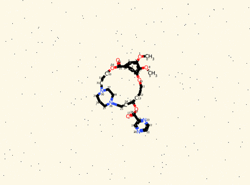 COc1cc2cc(c1OC)OCCCC(OC(=O)c1cnccn1)CCN1CCCN(CCCOC2=O)CC1